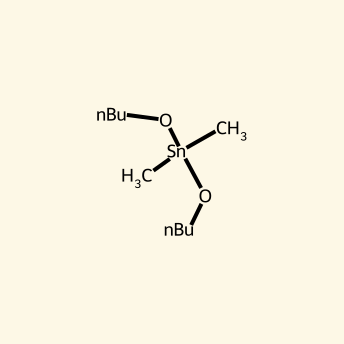 CCCC[O][Sn]([CH3])([CH3])[O]CCCC